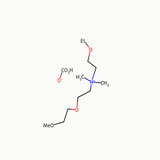 CCOCC[N+](C)(C)CCOCCOC.O=C([O-])O